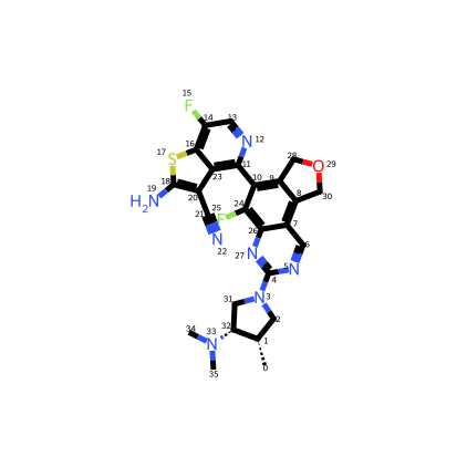 C[C@H]1CN(c2ncc3c4c(c(-c5ncc(F)c6sc(N)c(C#N)c56)c(F)c3n2)COC4)C[C@H]1N(C)C